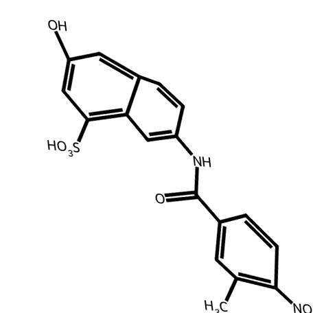 Cc1cc(C(=O)Nc2ccc3cc(O)cc(S(=O)(=O)O)c3c2)ccc1[N+](=O)[O-]